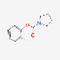 O=C(Oc1ccccc1F)N1CCCC1